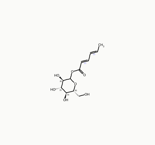 C/C=C/C=C/C(=O)OC1O[C@H](CO)[C@@H](O)[C@H](O)[C@H]1O